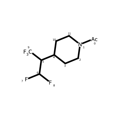 CC(=O)N1CCC(C(C(F)F)C(F)(F)F)CC1